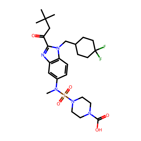 CN(c1ccc2c(c1)nc(C(=O)CC(C)(C)C)n2CC1CCC(F)(F)CC1)S(=O)(=O)N1CCN(C(=O)O)CC1